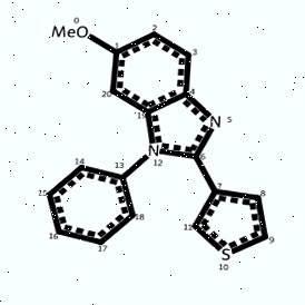 COc1ccc2nc(-c3ccsc3)n(-c3ccccc3)c2c1